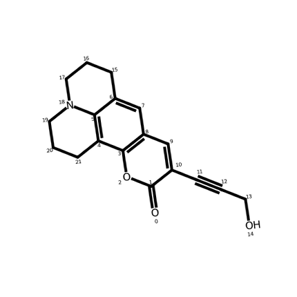 O=c1oc2c3c4c(cc2cc1C#CCO)CCCN4CCC3